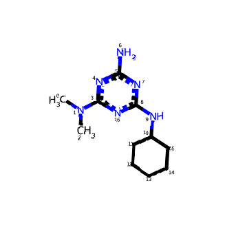 CN(C)c1nc(N)nc(NC2CCCCC2)n1